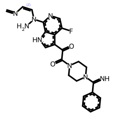 C=N/C=C\N(N)c1ncc(F)c2c(C(=O)C(=O)N3CCN(C(=N)c4ccccc4)CC3)c[nH]c12